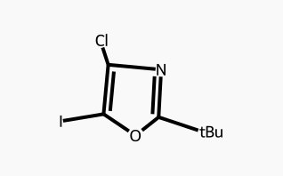 CC(C)(C)c1nc(Cl)c(I)o1